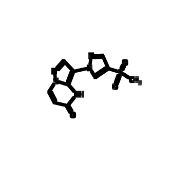 CS(=O)(=O)c1cnn(-c2cnn3ccc(=O)[nH]c23)c1